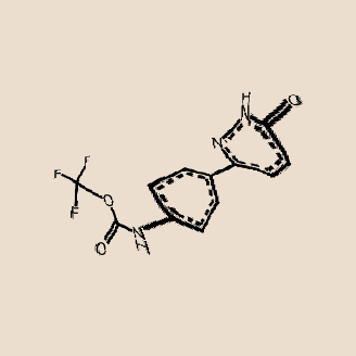 O=C(Nc1ccc(-c2ccc(=O)[nH]n2)cc1)OC(F)(F)F